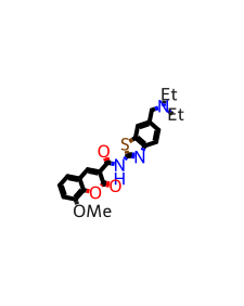 CCN(CC)Cc1ccc2nc(NC(=O)c3cc4cccc(OC)c4oc3=O)sc2c1